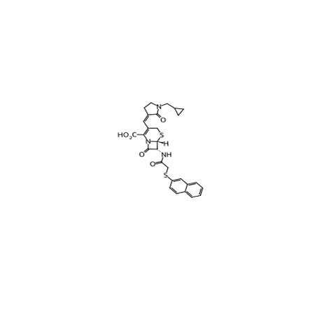 O=C(CSc1ccc2ccccc2c1)N[C@@H]1C(=O)N2C(C(=O)O)=C(C=C3CCN(CC4CC4)C3=O)CS[C@H]12